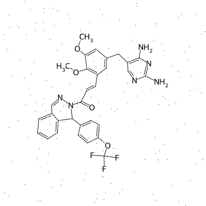 COc1cc(Cc2cnc(N)nc2N)cc(C=CC(=O)N2N=Cc3ccccc3C2c2ccc(OC(F)(F)F)cc2)c1OC